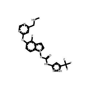 CNCc1cc(Oc2ccc3c(ccn3OC(=O)Nc3cc(C(F)(F)F)[nH]n3)c2F)ncn1